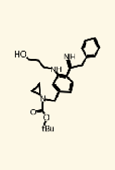 CC(C)(C)OC(=O)N(Cc1ccc(C(=N)Cc2ccccc2)c(NCCCO)c1)C1CC1